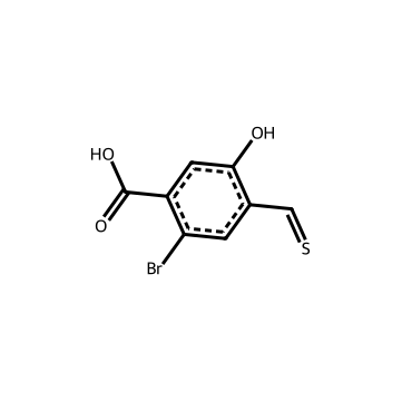 O=C(O)c1cc(O)c(C=S)cc1Br